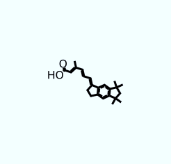 CC(C=CC=C1CCc2cc3c(cc21)C(C)(C)CC3(C)C)=CC(=O)O